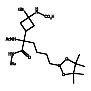 CC(=O)NC(CCCCB1OC(C)(C)C(C)(C)O1)(C(=O)NC(C)(C)C)C1CC(NC(=O)O)(C(C)(C)C)C1